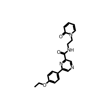 CCOc1ccc(-c2cncc(C(=O)NCCn3ccccc3=O)n2)cc1